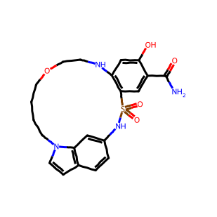 NC(=O)c1cc2c(cc1O)NCCOCCCCn1ccc3ccc(cc31)NS2(=O)=O